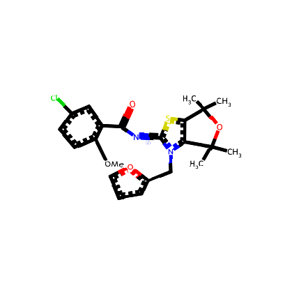 COc1ccc(Cl)cc1C(=O)/N=c1\sc2c(n1Cc1ccco1)C(C)(C)OC2(C)C